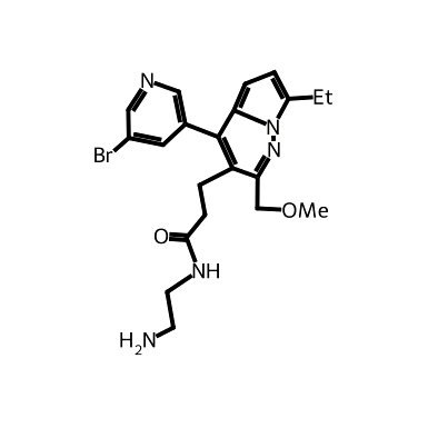 CCc1ccc2c(-c3cncc(Br)c3)c(CCC(=O)NCCN)c(COC)nn12